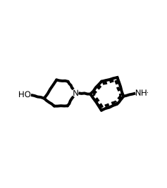 [NH]c1ccc(N2CCC(O)CC2)cc1